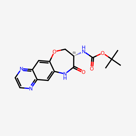 CC(C)(C)OC(=O)N[C@H]1COc2cc3nccnc3cc2NC1=O